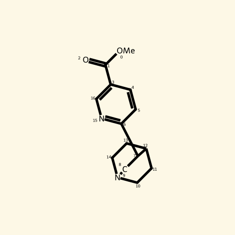 COC(=O)c1ccc(C2CN3CCC2CC3)nc1